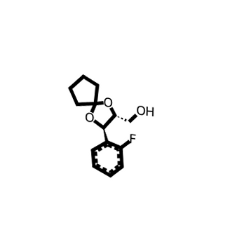 OC[C@H]1OC2(CCCC2)O[C@@H]1c1ccccc1F